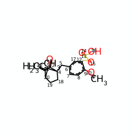 C=C1C(=O)C2(Cc3ccc(OC)c(S(=O)(=O)O)c3)CCC1C2(C)C